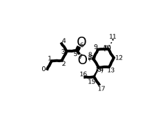 CCCC(C)C(=O)O[C@@H]1C[C@H](C)CC[C@H]1C(C)C